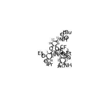 CCOc1cc(C(Oc2ccc(CNC(=O)OC(C)(C)C)cc2)C(NCc2cc(NC(C)=O)ccc2S(=O)(=O)CC)OC(=O)C(F)(F)F)ccc1OC(C)C